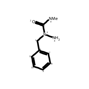 CNC(=O)N(N)Cc1ccccc1